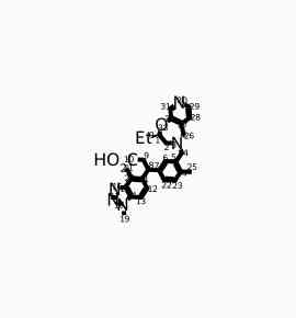 CC[C@@H]1CN(Cc2cc(C(CC(=O)O)c3ccc4c(nnn4C)c3C)ccc2C)Cc2ccncc2O1